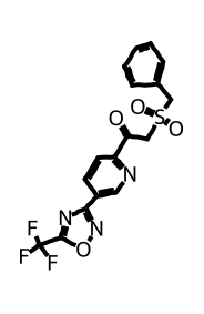 O=C(CS(=O)(=O)Cc1ccccc1)c1ccc(-c2noc(C(F)(F)F)n2)cn1